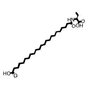 CC[C@H](NC(=O)CCCCCCCCCCCCCCCCCCCCCC(=O)O)C(=O)O